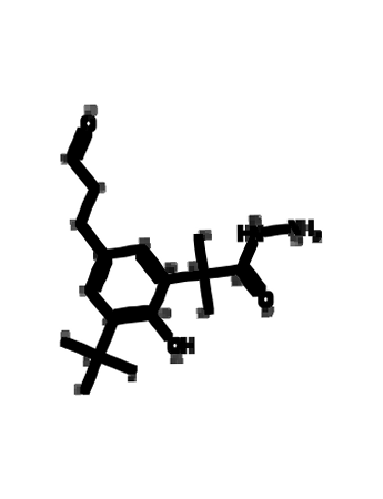 CC(C)(C)c1cc(CC[C]=O)cc(C(C)(C)C(=O)NN)c1O